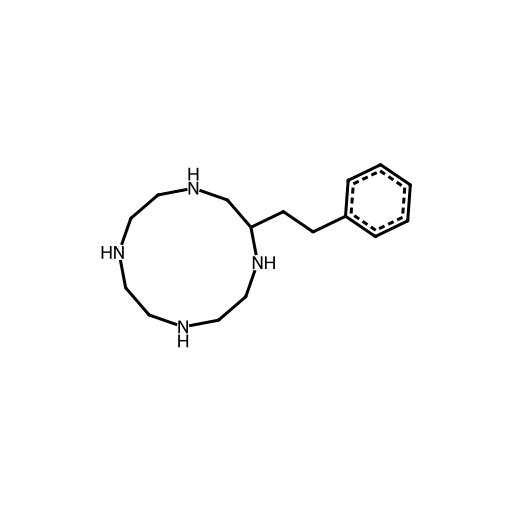 c1ccc(CCC2CNCCNCCNCCN2)cc1